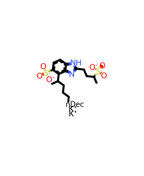 CCCCCCCCCCCCCC(C)c1c(S(=O)(=O)[O-])ccc2[nH]c(CCC(C)S(=O)(=O)[O-])nc12.[K+].[K+]